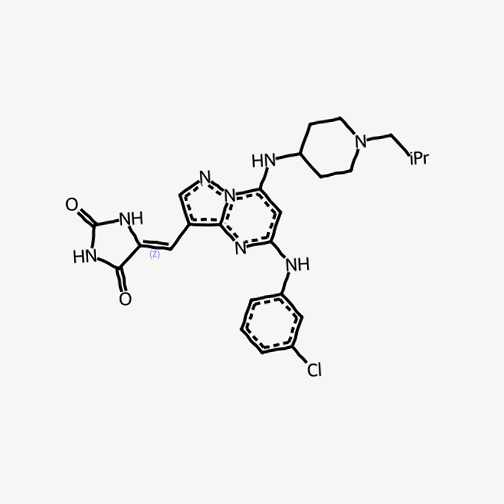 CC(C)CN1CCC(Nc2cc(Nc3cccc(Cl)c3)nc3c(/C=C4\NC(=O)NC4=O)cnn23)CC1